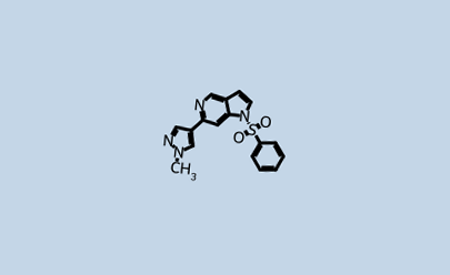 Cn1cc(-c2cc3c(ccn3S(=O)(=O)c3ccccc3)cn2)cn1